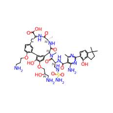 Cc1nc(-c2ccc3c(c2O)CCC3(C)C)nc(N)c1C(=O)N[C@@H](CNS(N)(=O)=O)C(=O)N(C)[C@@H]1C(=O)N[C@@H](C)C(=O)N[C@H](C(=O)O)Cc2ccc(OCCCN)c(c2)-c2cc1cc(OC[C@H](O)CN)c2O